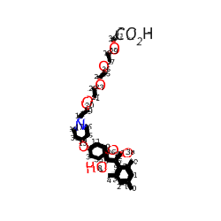 Cc1cc(C)c(C2=C(O)C3(CCC(OC4CCN(CCOCCOCCOCCOCC(=O)O)CC4)CC3)OC2=O)c(C)c1